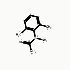 Cc1cccc(C)c1N(N)C(=N)N